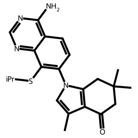 Cc1cn(-c2ccc3c(N)ncnc3c2SC(C)C)c2c1C(=O)CC(C)(C)C2